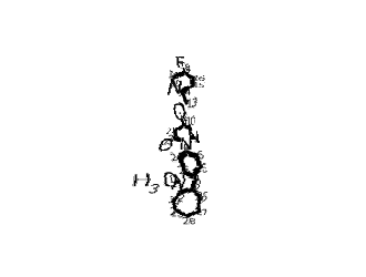 Cn1c2c(c3ccc(-n4ncc(OCc5ccc(F)cn5)cc4=O)cc31)CCCCC2